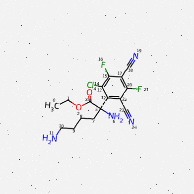 CCOC(=O)C(N)(CCCCN)c1c(Cl)c(F)c(C#N)c(F)c1C#N